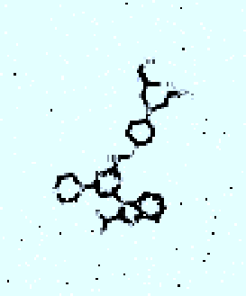 C=CCN(C/C(C)=C/O)[C@H]1CC[C@H](CNc2nc(N3CCOCC3)cc(-n3c(C(F)F)nc4ccccc43)n2)CC1